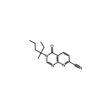 CCCC(C)(CC)n1cnc2nc(C#N)ccc2c1=O